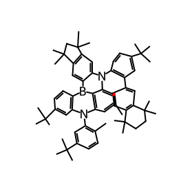 Cc1cc2c3c(c1)N(c1ccc(C(C)(C)C)cc1-c1ccc4c(c1)C(C)(C)CCC4(C)C)c1cc4c(cc1B3c1ccc(C(C)(C)C)cc1N2c1cc(C(C)(C)C)ccc1C)C(C)(C)CC4(C)C